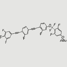 CCCCOc1cc(F)c(C(F)(F)Oc2ccc(C#Cc3ccc(C#Cc4cc(F)c(F)c(F)c4)c(F)c3)c(F)c2)c(F)c1